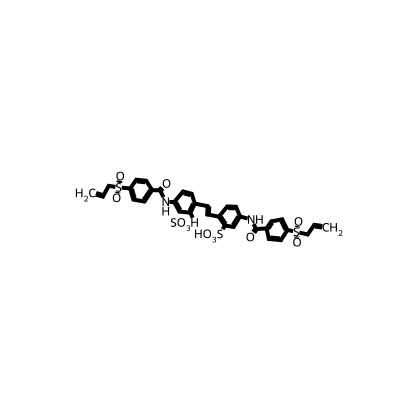 C=CCS(=O)(=O)c1ccc(C(=O)Nc2ccc(C=Cc3ccc(NC(=O)c4ccc(S(=O)(=O)CC=C)cc4)cc3S(=O)(=O)O)c(S(=O)(=O)O)c2)cc1